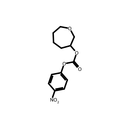 O=C(Oc1ccc([N+](=O)[O-])cc1)OC1CCCCOC1